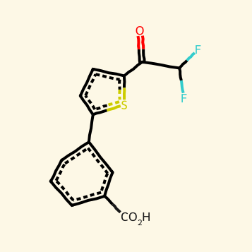 O=C(O)c1cccc(-c2ccc(C(=O)C(F)F)s2)c1